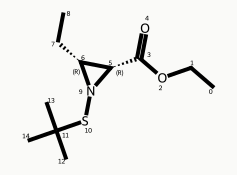 CCOC(=O)[C@H]1[C@@H](CC)N1SC(C)(C)C